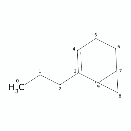 CCCC1=CCCC2C[C]12